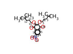 CC(C)CCCOC1=C(OCCCC(C)C)C(=O)c2cc([N+](=O)[O-])ccc2C1=O